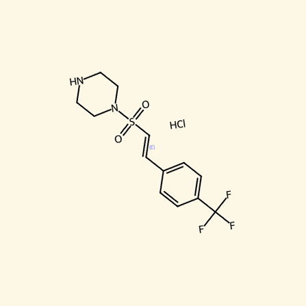 Cl.O=S(=O)(/C=C/c1ccc(C(F)(F)F)cc1)N1CCNCC1